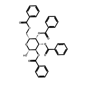 O=C(OC[C@H]1O[C@@H](O)[C@H](OC(=O)c2ccccc2)[C@@H](OC(=O)c2ccccc2)[C@H]1OC(=O)c1ccccc1)c1ccccc1